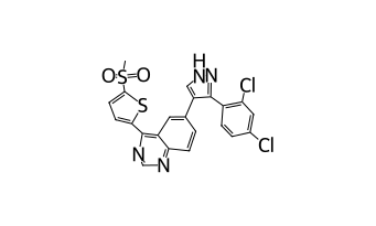 CS(=O)(=O)c1ccc(-c2ncnc3ccc(-c4c[nH]nc4-c4ccc(Cl)cc4Cl)cc23)s1